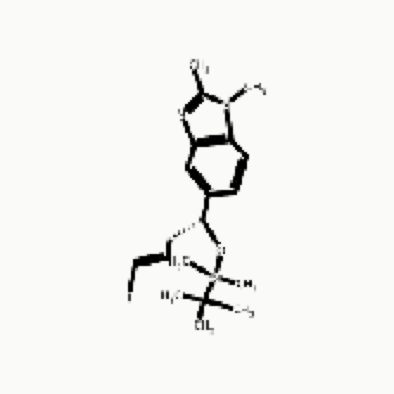 Cc1nc2cc([C@@H](C/C=C/I)O[Si](C)(C)C(C)(C)C)ccc2n1C